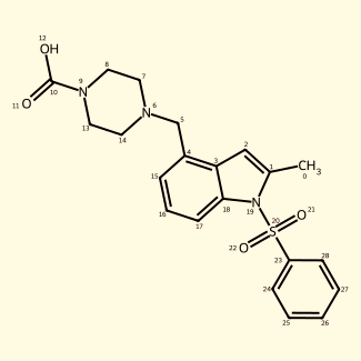 Cc1cc2c(CN3CCN(C(=O)O)CC3)cccc2n1S(=O)(=O)c1ccccc1